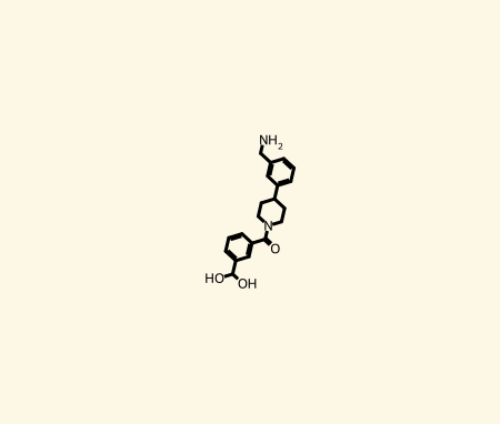 NCc1cccc(C2CCN(C(=O)c3cccc(C(O)O)c3)CC2)c1